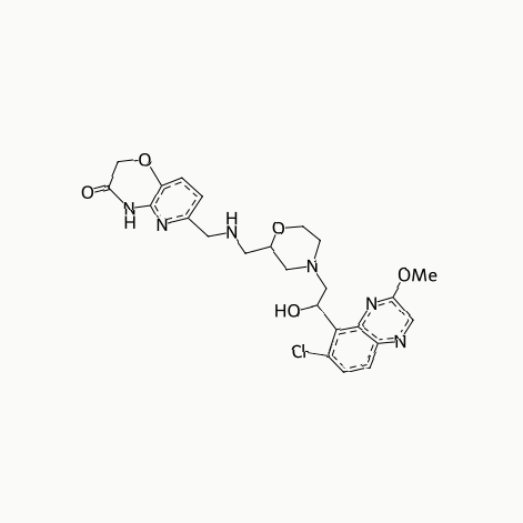 COc1cnc2ccc(Cl)c(C(O)CN3CCOC(CNCc4ccc5c(n4)NC(=O)CO5)C3)c2n1